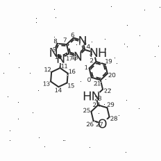 c1cc(Nc2ncc3cnn(C4CCCCC4)c3n2)ccc1CNC1CCOCC1